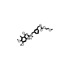 COCCOC(=O)N(C)Cc1cccc(CN(C)c2nc(=O)c3c(C)c(OC)c(OC)cc3[nH]2)c1